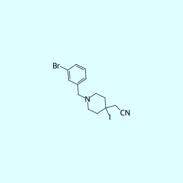 N#CCC1(I)CCN(Cc2cccc(Br)c2)CC1